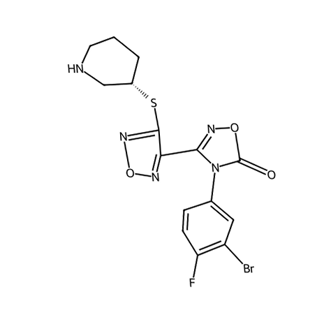 O=c1onc(-c2nonc2S[C@H]2CCCNC2)n1-c1ccc(F)c(Br)c1